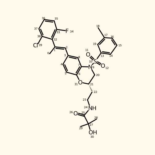 C/C(=C\c1ccc2c(c1)N(S(=O)(=O)c1cccc(C)c1)C[C@H](CCNC(=O)C(C)(C)O)O2)c1c(F)cccc1Cl